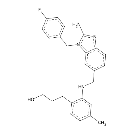 Cc1ccc(CCCO)c(NCc2ccc3nc(N)n(Cc4ccc(F)cc4)c3c2)c1